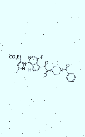 CCOC(=O)c1cc(C)nn1-c1ncc(F)c2c(C(=O)C(=O)N3CCN(C(=O)c4ccccc4)CC3)c[nH]c12